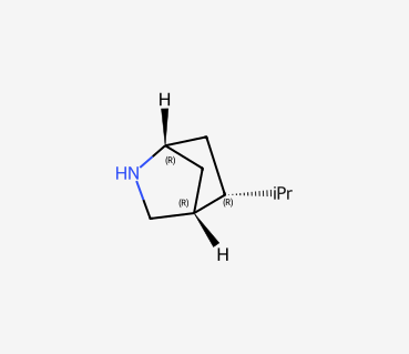 CC(C)[C@H]1C[C@@H]2C[C@H]1CN2